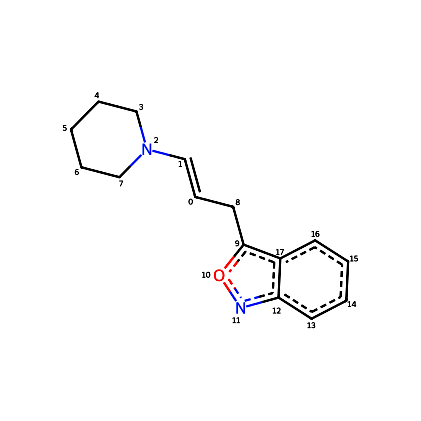 C(=CN1CCCCC1)Cc1onc2ccccc12